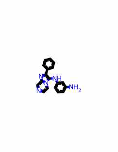 Nc1cccc(Nc2c(-c3ccccc3)nc3cnccn23)c1